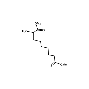 COC(=S)CCCCCCC(C)C(=S)OC